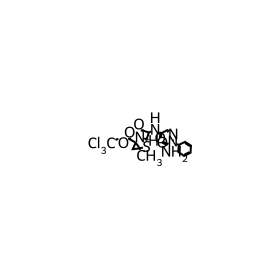 CC12CC1(C(=O)OCC(Cl)(Cl)Cl)N1C(=O)C(NC(=O)/C=N\N(C(N)=O)c3ccccc3)[C@H]1S2